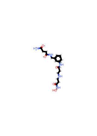 NC(=O)CCC(=O)NCc1cccc(NC(=O)CCNCCC(=O)NO)c1